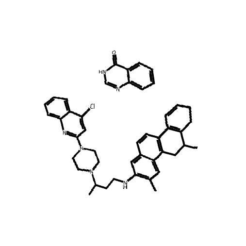 Cc1cc2c3c(ccc2cc1NCCC(C)N1CCN(c2cc(Cl)c4ccccc4n2)CC1)C1=C(CCC=C1)C(C)C3.O=c1[nH]cnc2ccccc12